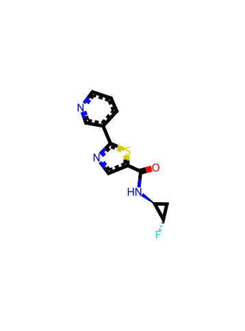 O=C(N[C@H]1C[C@@H]1F)c1cnc(-c2cccnc2)s1